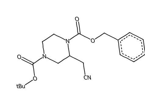 CC(C)(C)OC(=O)N1CCN(C(=O)OCc2ccccc2)C(CC#N)C1